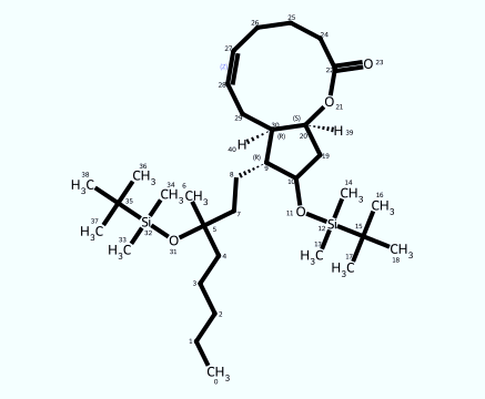 CCCCCC(C)(CC[C@H]1C(O[Si](C)(C)C(C)(C)C)C[C@@H]2OC(=O)CCC/C=C\C[C@@H]21)O[Si](C)(C)C(C)(C)C